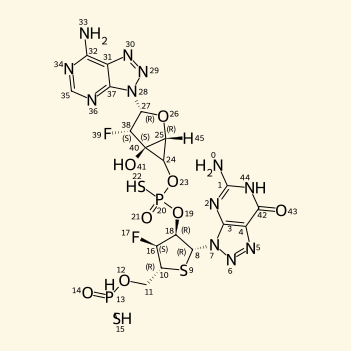 Nc1nc2c(nnn2[C@@H]2S[C@H](CO[PH](=O)S)[C@@H](F)[C@H]2OP(=O)(S)OC2[C@H]3O[C@@H](n4nnc5c(N)ncnc54)[C@@H](F)[C@@]23O)c(=O)[nH]1